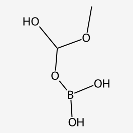 COC(O)OB(O)O